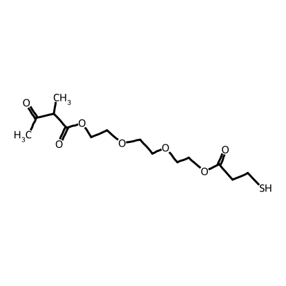 CC(=O)C(C)C(=O)OCCOCCOCCOC(=O)CCS